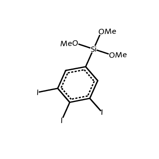 CO[Si](OC)(OC)c1cc(I)c(I)c(I)c1